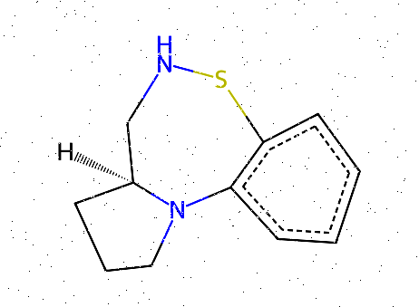 c1ccc2c(c1)SNC[C@@H]1CCCN21